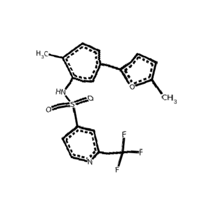 Cc1ccc(-c2ccc(C)c(NS(=O)(=O)c3ccnc(C(F)(F)F)c3)c2)o1